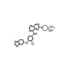 CC1(O)CCN(c2ncc3ncnc(Nc4ccc(Oc5ccn6ncnc6c5)c(Cl)c4)c3n2)CC1